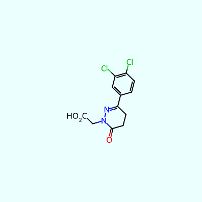 O=C(O)CN1N=C(c2ccc(Cl)c(Cl)c2)CCC1=O